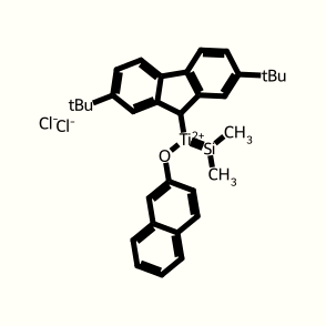 C[Si](C)=[Ti+2]([O]c1ccc2ccccc2c1)[CH]1c2cc(C(C)(C)C)ccc2-c2ccc(C(C)(C)C)cc21.[Cl-].[Cl-]